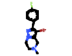 CN1CCn2nc(-c3ccc(F)cc3)c(Br)c2C1